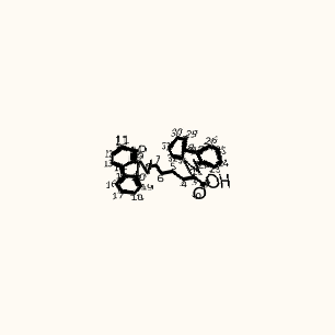 O=C(O)C(CCCCn1c2ccccc2c2ccccc21)n1c2ccccc2c2ccccc21